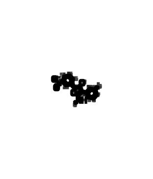 CNC1=C(c2cccc(I)c2)C(=O)C(c2cccc([N+](=O)[O-])c2)O1